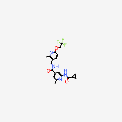 Cc1cc(C(=O)NCc2ccc(OCC(F)(F)F)nc2C)cc(NC(=O)C2CC2)n1